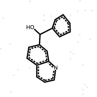 OC(c1ccccc1)c1ccc2cccnc2c1